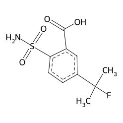 CC(C)(F)c1ccc(S(N)(=O)=O)c(C(=O)O)c1